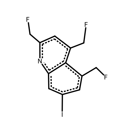 FCc1cc(CF)c2c(CF)cc(I)cc2n1